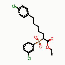 CCOC(=O)C(CCCCCc1ccc(Cl)cc1)S(=O)(=O)c1cccc(Cl)c1